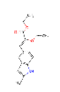 CCOC(=O)C(=Cc1ccc2[nH]c(C)cc2c1)OCC